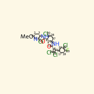 COc1ccc(NC(=O)c2cc(NC(=O)[C@@H]3[C@@H](c4ccc(F)c(Cl)c4)C3(Cl)Cl)ccc2Cl)c(Cl)n1